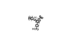 O=C(O)c1ccc(-c2nc(NCc3ccc4c(c3)OCO4)c3cc([N+](=O)[O-])sc3n2)cc1